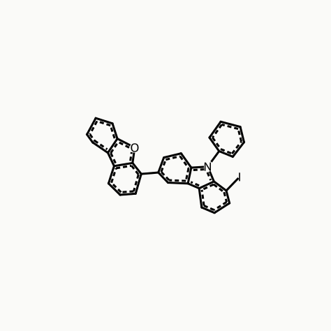 Ic1cccc2c3cc(-c4cccc5c4oc4ccccc45)ccc3n(-c3ccccc3)c12